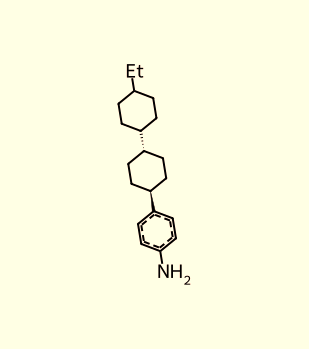 CCC1CCC([C@H]2CC[C@H](c3ccc(N)cc3)CC2)CC1